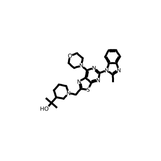 Cc1nc2ccccc2n1-c1nc(N2CCOCC2)c2nc(CN3CCCC(C(C)(C)O)C3)sc2n1